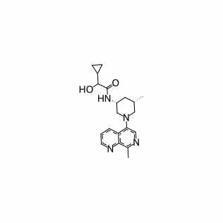 Cc1ncc(N2C[C@@H](C)C[C@@H](NC(=O)C(O)C3CC3)C2)c2cccnc12